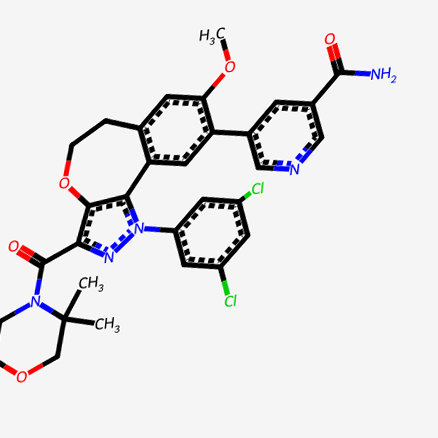 COc1cc2c(cc1-c1cncc(C(N)=O)c1)-c1c(c(C(=O)N3CCOCC3(C)C)nn1-c1cc(Cl)cc(Cl)c1)OCC2